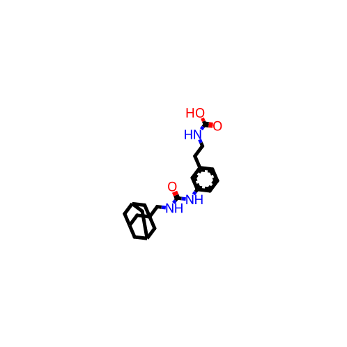 O=C(O)NCCc1cccc(NC(=O)NCC23CC4CC(CC(C4)C2)C3)c1